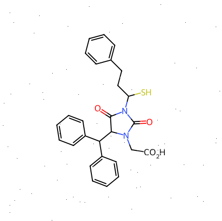 O=C(O)CN1C(=O)N(C(S)CCc2ccccc2)C(=O)C1C(c1ccccc1)c1ccccc1